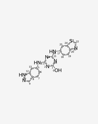 Oc1nc(Nc2ccc3cn[nH]c3c2)nc(Nc2ccc3ncsc3c2)n1